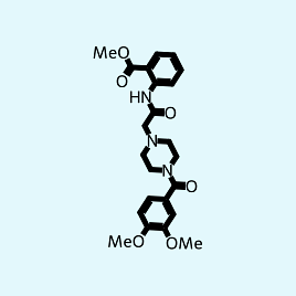 COC(=O)c1ccccc1NC(=O)CN1CCN(C(=O)c2ccc(OC)c(OC)c2)CC1